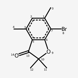 Cc1cc(C)c2c(c1Br)OC(C)(C)C2=O